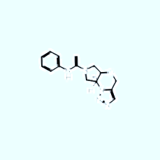 C=C(Nc1ccccc1)N1CC2OCc3cnnn3[C@@H]2C1